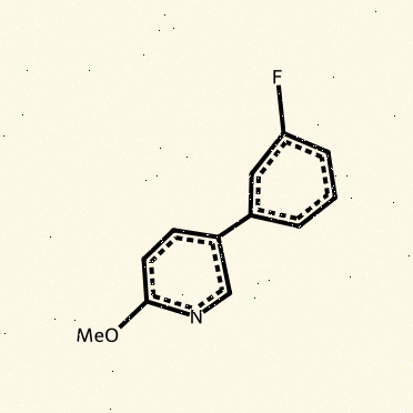 COc1ccc(-c2cccc(F)c2)cn1